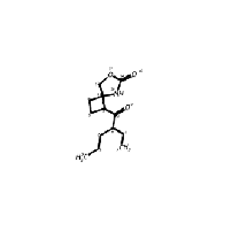 CCCC(CC)C(=O)C1CCC12COC(=O)N2